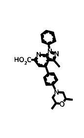 Cc1nn(-c2ccccc2)c2nc(C(=O)O)cc(-c3ccc(N4CC(C)OC(C)C4)cc3)c12